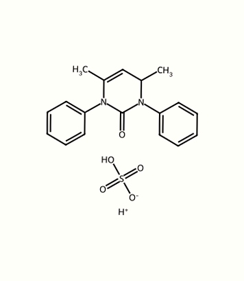 CC1=CC(C)N(c2ccccc2)C(=O)N1c1ccccc1.O=S(=O)([O-])O.[H+]